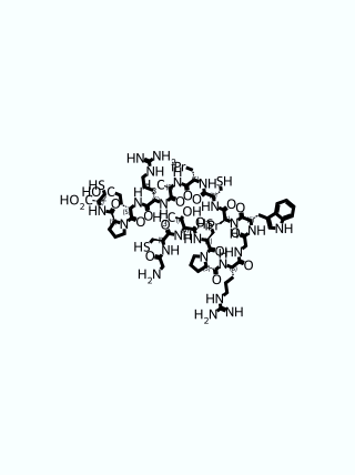 CC(C)C[C@H](NC(=O)[C@H](CS)NC(=O)[C@@H](NC(=O)[C@H](Cc1c[nH]c2ccccc12)NC(=O)CNC(=O)[C@H](CCCNC(=N)N)NC(=O)[C@@H]1CCCN1C(=O)[C@H](CS)NC(=O)[C@@H](NC(=O)[C@H](CS)NC(=O)CN)[C@@H](C)O)C(C)C)C(=O)N[C@@H](C)C(=O)N[C@@H](CCCNC(=N)N)C(=O)N[C@@H](CCC(=O)O)C(=O)N1CCC[C@H]1C(=O)N[C@@H](CS)C(=O)O